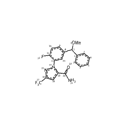 COC(c1ccccc1)c1ccc(F)c(-n2nc(C(F)(F)F)cc2C(N)=O)c1